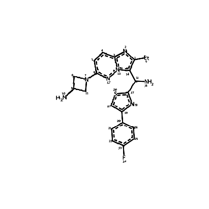 CCc1nc2ccc(N3CC(N)C3)nn2c1C(N)c1nc(-c2ccc(F)cc2)cs1